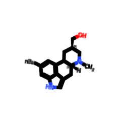 CCCCc1cc2c3c(c[nH]c3c1)C[C@@H]1C2C[C@@H](CO)CN1C